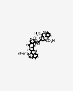 CCCCCN1C=Nc2cccc3nc4c(c1c23)Cn1c-4cc2c(c1=O)COC(=O)[C@@]2(CC)OC(=O)CC[C@@H](C(=O)O)N(C(=O)[C@H](C)N)C1CCCCC1